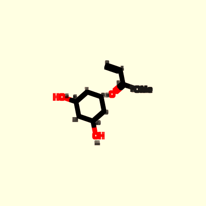 C=CC(=O)OC.OC1CCCC(O)C1